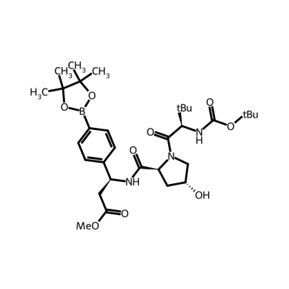 COC(=O)C[C@H](NC(=O)[C@@H]1C[C@@H](O)CN1C(=O)[C@H](NC(=O)OC(C)(C)C)C(C)(C)C)c1ccc(B2OC(C)(C)C(C)(C)O2)cc1